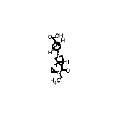 CCN(C(=O)C1[C@H]2CN(C3C[C@@H]4CC[C@H]3CN4C(=O)O)C[C@@H]12)C1CC1